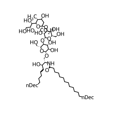 CCCCCCCCCCCCC/C=C/[C@@H](O)[C@H](CO[C@@H]1O[C@H](CO)[C@@H](O[C@@H]2O[C@H](CO)[C@H](O)[C@H](O[C@]3(C(=O)O)C[C@H](O)[C@@H](C)[C@H]([C@H](O)[C@H](O)CO)O3)[C@H]2O)[C@H](O)[C@H]1O)NC(=O)CCCCCCCCCCCCCCCCCCCCCC